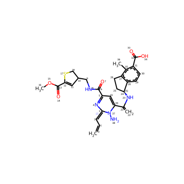 C=C/C=C1/N=C(C(=O)NCC2C=C(C(=O)OC)SC2)C=C(C(=C)N[C@H]2CCc3c2ccc(C(=O)O)c3C)N1N